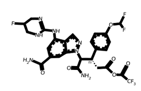 NC(=O)c1cc(NC2=NCC(F)CN2)c2cnn(C(C(N)=O)[C@@H](CC(=O)OC(=O)C(F)(F)F)c3ccc(OC(F)F)cc3)c2c1